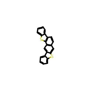 c1ccc2c(c1)sc1cc3ccc4c5ccccc5sc4c3cc12